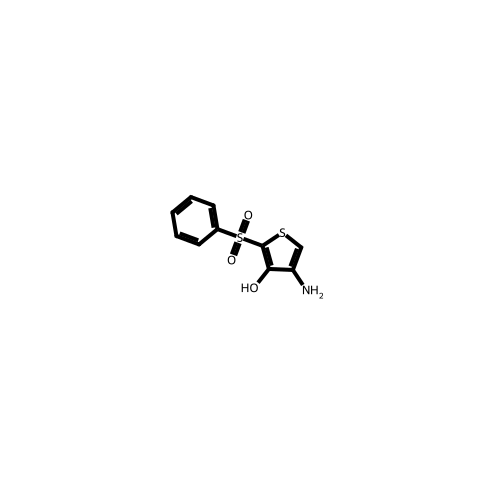 Nc1csc(S(=O)(=O)c2ccccc2)c1O